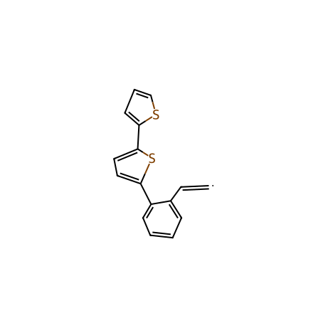 [CH]=Cc1ccccc1-c1ccc(-c2cccs2)s1